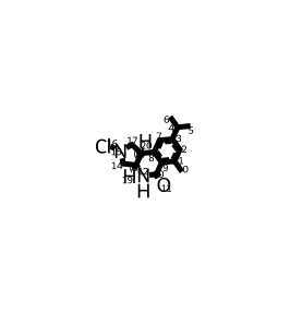 Cc1cc(C(C)C)cc2c1C(=O)N[C@@H]1CN(Cl)C[C@@H]21